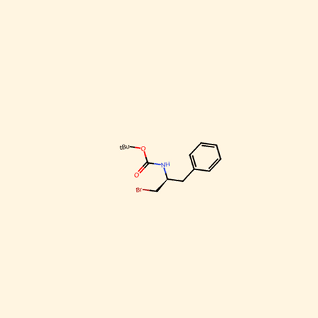 CC(C)(C)OC(=O)N[C@H](CBr)Cc1ccccc1